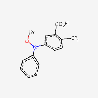 CC(C)ON(c1ccccc1)c1ccc(C(F)(F)F)c(C(=O)O)c1